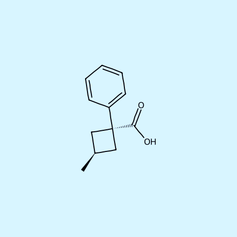 C[C@H]1C[C@@](C(=O)O)(c2ccccc2)C1